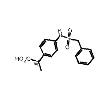 C[C@@H](C(=O)O)c1ccc(NS(=O)(=O)Cc2ccccc2)cc1